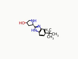 CC(C)(C)c1ccc2[nH]c([C@H]3C[C@@H](O)CN3)nc2c1